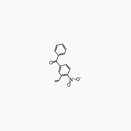 C=Cc1cc(C(=O)c2ccccc2)ccc1[N+](=O)[O-]